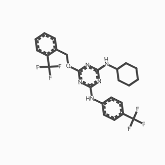 FC(F)(F)c1ccc(Nc2nc(NC3CCCCC3)nc(OCc3ccccc3C(F)(F)F)n2)cc1